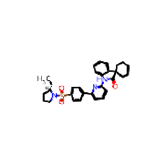 CC[C@H]1CCCN1S(=O)(=O)c1ccc(-c2cccc(NC(=O)C3(c4ccccc4)CCCCC3)n2)cc1